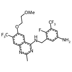 COCCOc1cc2c(NCc3cc(N)cc(C(F)(F)F)c3F)nc(C)nc2cc1C(F)(F)F